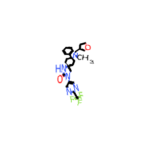 CN(CC1CCOC1)[C@]1(c2ccccc2)CC[C@@]2(CC1)CN(c1cnc(C(F)(F)F)nc1)C(=O)N2